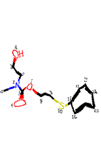 CN(CCO)C(=O)OCCSc1ccccc1